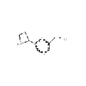 COc1cncc(C2CCN2)n1